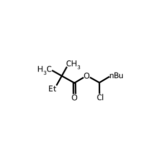 CCCCC(Cl)OC(=O)C(C)(C)CC